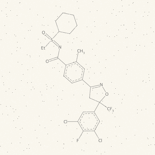 CCS(=O)(=NC(=O)c1ccc(C2=NOC(c3cc(Cl)c(F)c(Cl)c3)(C(F)(F)F)C2)cc1C)C1CCCCC1